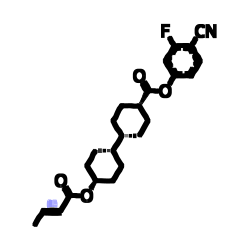 C/C=C/C(=O)O[C@H]1CC[C@H]([C@H]2CC[C@H](C(=O)Oc3ccc(C#N)c(F)c3)CC2)CC1